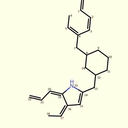 C=C/C=C\C(=C/C)CC1CCCC(Cc2cc(=C/C)/c(=C\C=C)[nH]2)C1